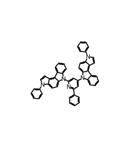 c1ccc(-c2cc(-n3c4ccccc4c4c5ccn(-c6ccccc6)c5ccc43)cc(-n3c4ccccc4c4c5ccn(-c6ccccc6)c5ccc43)n2)cc1